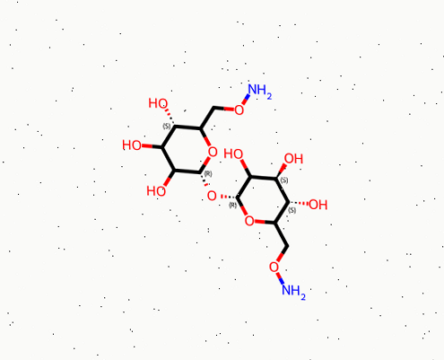 NOCC1O[C@H](O[C@H]2OC(CON)[C@@H](O)[C@H](O)C2O)C(O)C(O)[C@@H]1O